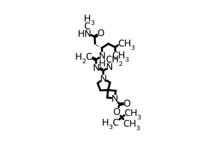 C=N/C(=N\C(=C)N[C@H](CC(=O)NC)CC(C)C)N1CCC2(CN(C(=O)OC(C)(C)C)C2)C1